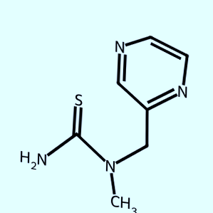 CN(Cc1cnccn1)C(N)=S